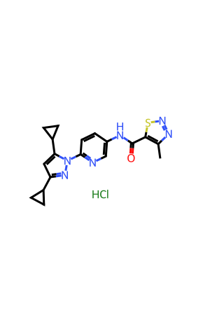 Cc1nnsc1C(=O)Nc1ccc(-n2nc(C3CC3)cc2C2CC2)nc1.Cl